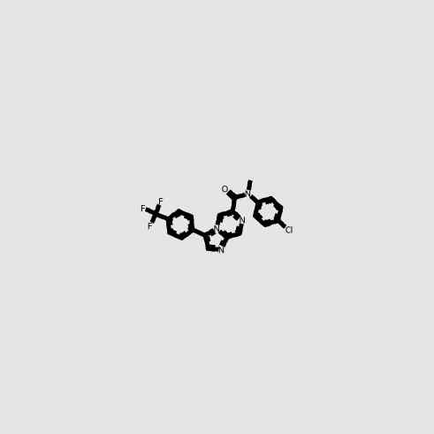 CN(C(=O)c1cn2c(-c3ccc(C(F)(F)F)cc3)cnc2cn1)c1ccc(Cl)cc1